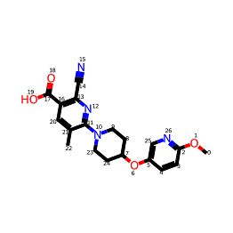 COc1ccc(OC2CCN(c3nc(C#N)c(C(=O)O)cc3C)CC2)cn1